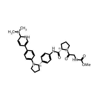 COC(=O)NCC(=O)N1CCC[C@H]1C(=O)Nc1ccc([C@@H]2CCCN2c2ccc(C3=CNC(N(C)C)C=C3)cc2)cc1